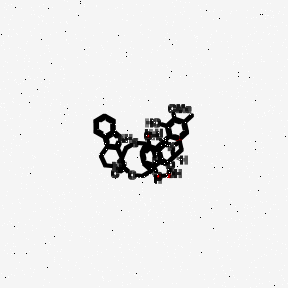 COc1c(C)cc2c(c1O)[C@@H]1C3[C@@H]4SC[C@]5(NCCc6c5[nH]c5ccccc65)C(=O)OC[C@@H](c5c6c(c(C)c(O)c54)OCO6)N3[C@@H](O)[C@H](C2)N1C